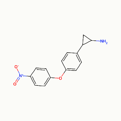 NC1CC1c1ccc(Oc2ccc([N+](=O)[O-])cc2)cc1